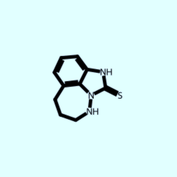 S=c1[nH]c2cccc3c2n1NCCC3